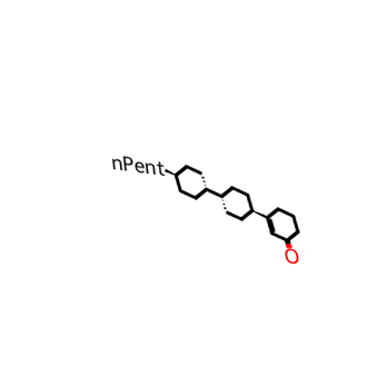 CCCCC[C@H]1CC[C@H]([C@H]2CC[C@H](C3=CC(=O)CCC3)CC2)CC1